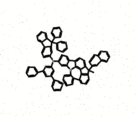 CC1(c2ccc3ccccc3c2)c2cccc3c2-c2c1ccc1c4ccc(N(c5cc(-c6ccccc6)cc(-c6ccccc6)c5)c5ccc6c(c5)C(c5ccccc5)(c5ccccc5)c5ccccc5-6)cc4n(c21)-c1ccccc1-3